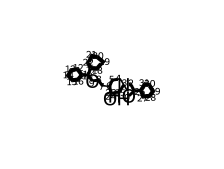 OC(CN1CC[C@H](CCOC(c2ccccc2)c2ccccc2)[C@@H](O)C1)c1ccccc1